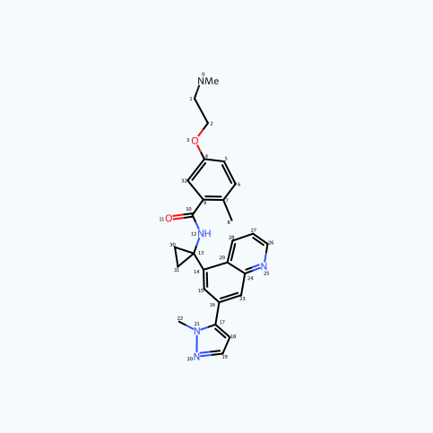 CNCCOc1ccc(C)c(C(=O)NC2(c3cc(-c4ccnn4C)cc4ncccc34)CC2)c1